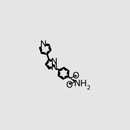 NS(=O)(=O)c1ccc(-n2ccc(-c3ccncc3)n2)cc1